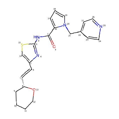 O=C(Nc1nc(/C=C/[C@H]2CCCCO2)cs1)c1cccn1Cc1ccncc1